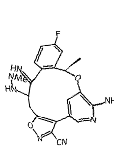 CNNC1Cc2onc(C#N)c2-c2cnc(N)c(c2)O[C@H](C)c2cc(F)ccc2C1=N